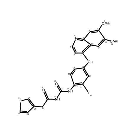 COc1cc2nccc(Oc3ccc(NC(=O)NC(=O)Cc4ccsc4)c(F)c3)c2cc1OC